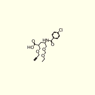 C#CCOCC(CC(COCOCC)NC(=O)c1ccc(Cl)cc1)C(=O)O